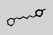 Cc1ccc(SSCCCOC2CCCCO2)cc1